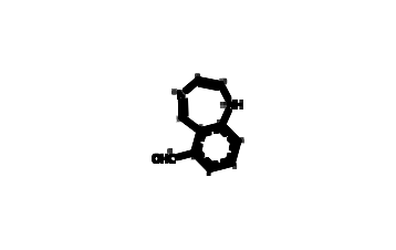 O=Cc1cccc2c1C=NC=CN2